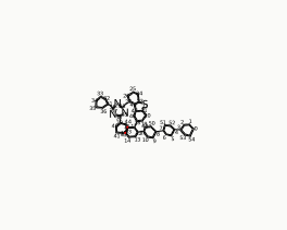 c1ccc(-c2ccc(-c3ccc(-c4ccccc4-c4ccc5sc6cccc(-c7nc(-c8ccccc8)nc(-c8ccccc8)n7)c6c5c4)cc3)cc2)cc1